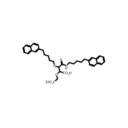 CCOC(=O)COC(C(=O)O)C(OCCCCCc1ccc2ccccc2c1)C(=O)NCCCCCc1ccc2ccccc2c1